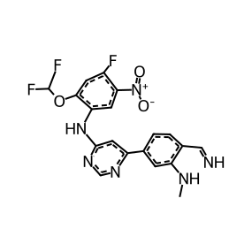 CNc1cc(-c2cc(Nc3cc([N+](=O)[O-])c(F)cc3OC(F)F)ncn2)ccc1C=N